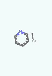 CC(C)=O.c1ccncc1